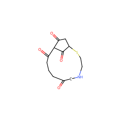 O=C1CCCC(=O)C2C(=O)CC(SCCNC1)C2=O